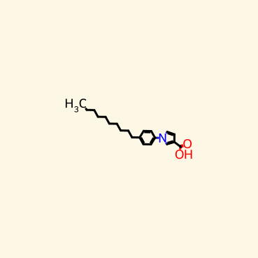 CCCCCCCCCCc1ccc(-n2ccc(C(=O)O)c2)cc1